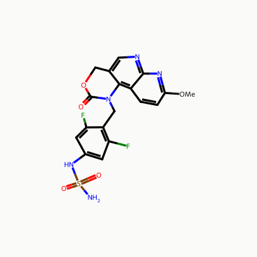 COc1ccc2c3c(cnc2n1)COC(=O)N3Cc1c(F)cc(NS(N)(=O)=O)cc1F